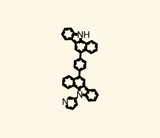 c1cncc(-n2c3ccccc3c3cc(-c4ccc(-c5cc6c7ccccc7[nH]c6c6ccccc56)cc4)c4ccccc4c32)c1